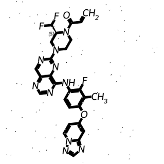 C=CC(=O)N1CCN(c2ncc3ncnc(Nc4ccc(Oc5ccn6ncnc6c5)c(C)c4F)c3n2)C[C@H]1C(F)F